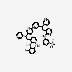 CS(=O)(=O)c1cccc(Nc2ncccc2CC(c2cccnc2)c2cccnc2)c1.N#Cc1cccc(I)c1Nc1ncccc1CC(c1cccnc1)c1cccnc1